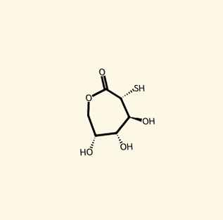 O=C1OC[C@@H](O)[C@@H](O)[C@H](O)[C@H]1S